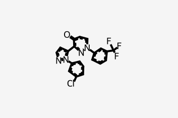 O=c1ccn(-c2cccc(C(F)(F)F)c2)nc1-c1ccnn1-c1cccc(Cl)c1